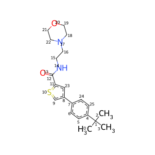 CC(C)(C)c1ccc(-c2csc(C(=O)NCCN3CCOCC3)c2)cc1